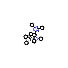 C[Si]1(C)c2c(-c3ccccc3)cccc2-c2ccc3c(-c4nc(-c5ccccc5)nc(-c5ccccc5)n4)cc4c(c5ccccc5n4-c4ccccc4)c3c21